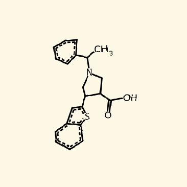 CC(c1ccccc1)N1CC(C(=O)O)C(c2cc3ccccc3s2)C1